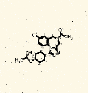 CC(=O)N1Cc2cc(Cl)ccc2-n2c(nnc2[C@H]2CC[C@H](OC(C)C)CC2)C1